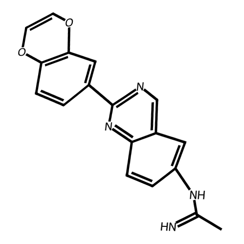 CC(=N)Nc1ccc2nc(-c3ccc4c(c3)OC=CO4)ncc2c1